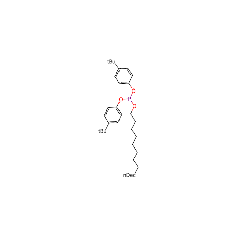 CCCCCCCCCCCCCCCCCCOP(Oc1ccc(C(C)(C)C)cc1)Oc1ccc(C(C)(C)C)cc1